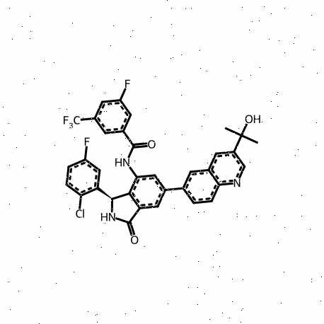 CC(C)(O)c1cnc2ccc(-c3cc(NC(=O)c4cc(F)cc(C(F)(F)F)c4)c4c(c3)C(=O)N[C@H]4c3cc(F)ccc3Cl)cc2c1